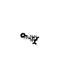 Cc1cc(C(C)C)n2nc(NCc3ccccc3)nc2n1